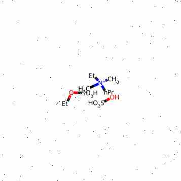 CCC[N+](C)(C)CC.CCOS(=O)(=O)O.O=S(=O)(O)O